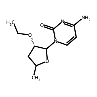 CCO[C@H]1CC(C)OC1n1ccc(N)nc1=O